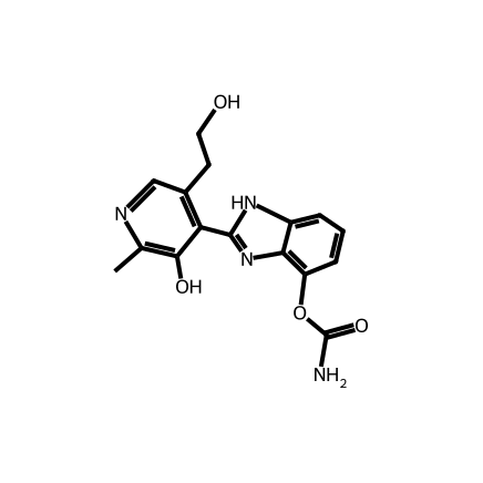 Cc1ncc(CCO)c(-c2nc3c(OC(N)=O)cccc3[nH]2)c1O